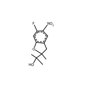 CC(C)(O)C1(C)Cc2cc([N+](=O)[O-])c(F)cc2O1